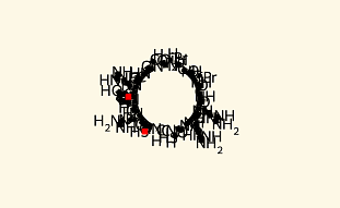 CC(C)C[C@@H]1NC(=O)CNC(=O)[C@H](CCCNC(=N)N)NC(=O)[C@H](CCCNC(=N)N)NNC(=O)[C@H](CS)NCCN[C@@H](CS)C(=O)C(=O)[C@H](CCCNC(=N)N)NC(=O)[C@H](Cc2ccc(O)cc2)NC(=O)[C@H](CCCNC(=N)N)NC(=O)CNC(=O)[C@H](CC(=O)O)NC(=O)[C@H](CC(C)C)NC(=O)CNC1=O